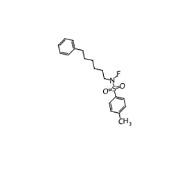 Cc1ccc(S(=O)(=O)N(F)CCCCCCc2ccccc2)cc1